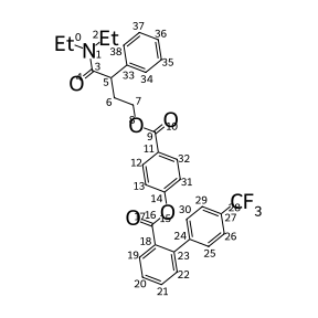 CCN(CC)C(=O)C(CCOC(=O)c1ccc(OC(=O)c2ccccc2-c2ccc(C(F)(F)F)cc2)cc1)c1ccccc1